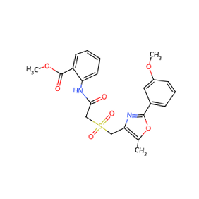 COC(=O)c1ccccc1NC(=O)CS(=O)(=O)Cc1nc(-c2cccc(OC)c2)oc1C